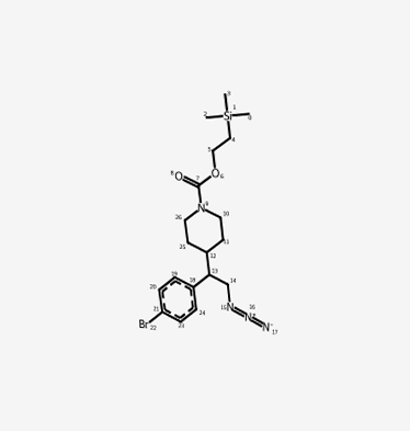 C[Si](C)(C)CCOC(=O)N1CCC(C(CN=[N+]=[N-])c2ccc(Br)cc2)CC1